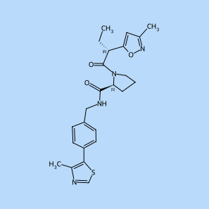 CC[C@@H](C(=O)N1CCC[C@H]1C(=O)NCc1ccc(-c2scnc2C)cc1)c1cc(C)no1